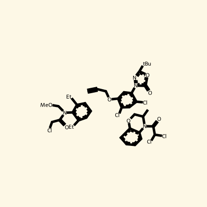 C#CCOc1cc(-n2nc(C(C)(C)C)oc2=O)c(Cl)cc1Cl.CC1COc2ccccc2N1C(=O)C(Cl)Cl.CCc1cccc(CC)c1N(COC)C(=O)CCl